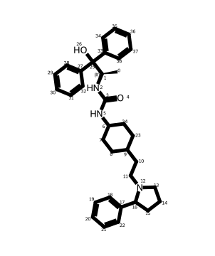 C[C@@H](NC(=O)NC1CCC(CCN2CCCC2c2ccccc2)CC1)C(O)(c1ccccc1)c1ccccc1